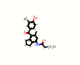 CCOC(=O)CC(=O)Nc1cc(C)c(C(=O)c2ccc(O)c(C(C)C)c2)c2c1CCC2